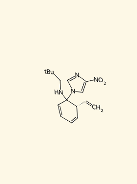 C=C[C@@H]1C=CC=CC1(NCC(C)(C)C)n1cnc([N+](=O)[O-])c1